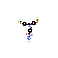 O=C(Nc1nn[nH]n1)c1ccc(Cn2nc(-c3ccc(OC(F)(F)F)cc3)cc2-c2ccc(OC(F)(F)F)cc2)cc1